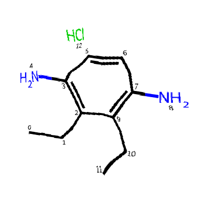 CCc1c(N)ccc(N)c1CC.Cl